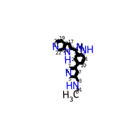 CCNCc1cncc(-c2ccc3[nH]nc(-c4cc5ccncc5[nH]4)c3c2)c1